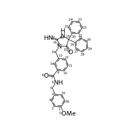 COc1ccc(CNC(=O)c2cccc(CN3C(=N)NC(c4ccccc4)(c4ccccc4)C3=O)c2)cc1